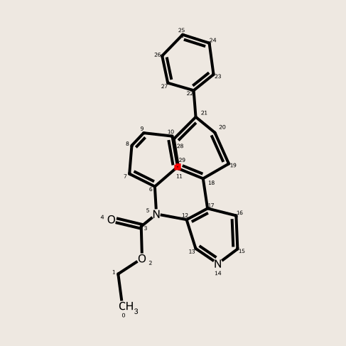 CCOC(=O)N(c1ccccc1)c1cnccc1-c1ccc(-c2cc[c]cc2)cc1